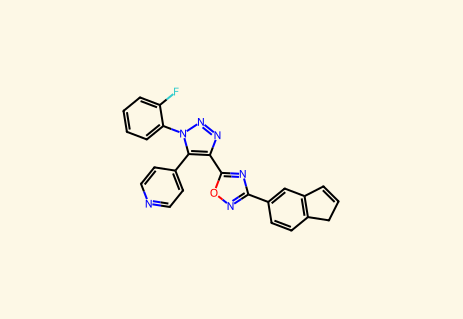 Fc1ccccc1-n1nnc(-c2nc(-c3ccc4c(c3)C=CC4)no2)c1-c1ccncc1